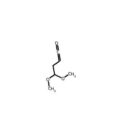 COC(CC=C=O)OC